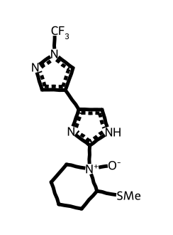 CSC1CCCC[N+]1([O-])c1nc(-c2cnn(C(F)(F)F)c2)c[nH]1